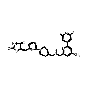 Cc1cc(CNCC2CCN(c3nccc(C=C4SC(=O)NC4=O)n3)CC2)nc(-c2cc(F)nc(F)c2)c1